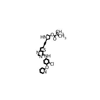 CN(C)C(=O)OC1CNC(C#Cc2cc3ncnc(Nc4ccc(Oc5ccccn5)c(Cl)c4)c3s2)C1